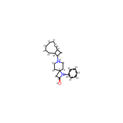 O=C1CC2(CCN(C3CC4CCCCCCC43)CC2)N1c1ccccc1